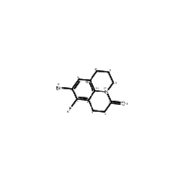 O=C1CCc2c(F)c(Br)cc3c2N1CCC3